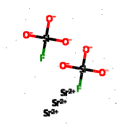 [O-][Si]([O-])([O-])F.[O-][Si]([O-])([O-])F.[Sr+2].[Sr+2].[Sr+2]